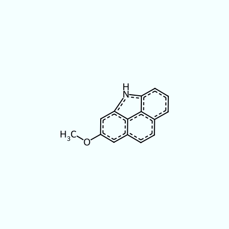 COc1cc2ccc3cccc4[nH]c(c1)c2c34